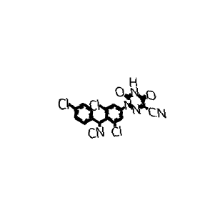 N#Cc1nn(-c2cc(Cl)c(C(C#N)c3ccc(Cl)cc3)c(Cl)c2)c(=O)[nH]c1=O